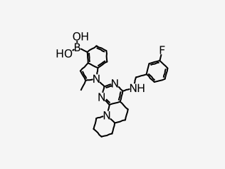 Cc1cc2c(B(O)O)cccc2n1-c1nc(NCc2cccc(F)c2)c2c(n1)N1CCCCC1CC2